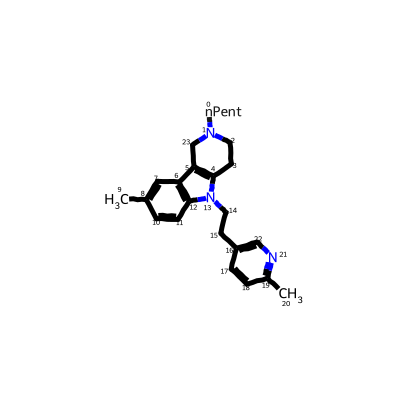 CCCCCN1CCc2c(c3cc(C)ccc3n2CCc2ccc(C)nc2)C1